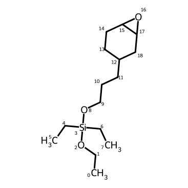 CCO[Si](CC)(CC)OCCCC1CCC2OC2C1